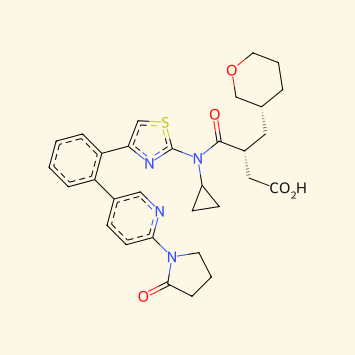 O=C(O)C[C@@H](C[C@H]1CCCOC1)C(=O)N(c1nc(-c2ccccc2-c2ccc(N3CCCC3=O)nc2)cs1)C1CC1